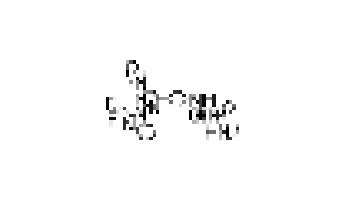 O=C(CNC(=O)[C@@H]1CCCN1)Nc1ccc(-c2cc(N3CCOCC3)nc(-n3c(CC(F)F)nc4ccccc43)n2)cc1